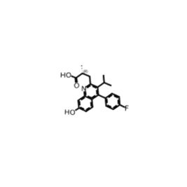 CC(C)c1c(C[C@@H](C)C(=O)O)nc2cc(O)ccc2c1-c1ccc(F)cc1